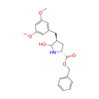 COc1cc(C[C@H]2C[C@H](C(=O)OCc3ccccc3)NC2O)cc(OC)c1